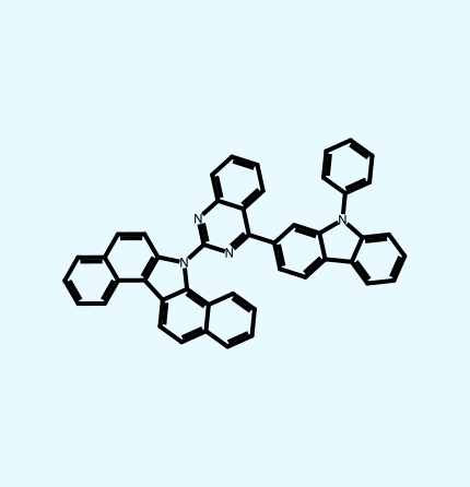 c1ccc(-n2c3ccccc3c3ccc(-c4nc(-n5c6ccc7ccccc7c6c6ccc7ccccc7c65)nc5ccccc45)cc32)cc1